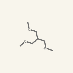 CNCC(COC)COC